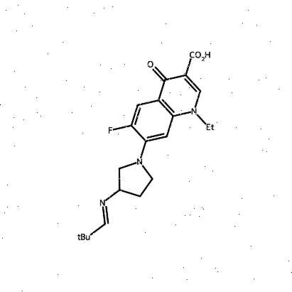 CCn1cc(C(=O)O)c(=O)c2cc(F)c(N3CCC(/N=C/C(C)(C)C)C3)cc21